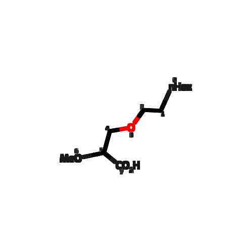 CCCCCCCCOCC(OC)C(=O)O